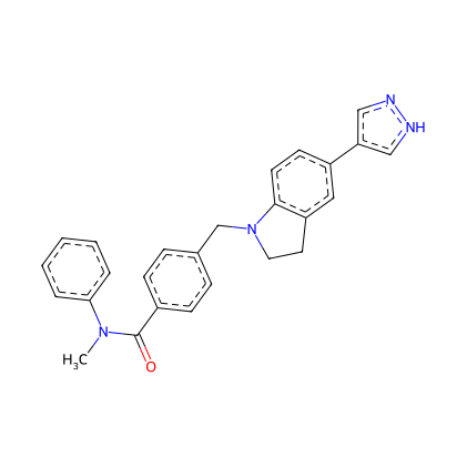 CN(C(=O)c1ccc(CN2CCc3cc(-c4cn[nH]c4)ccc32)cc1)c1ccccc1